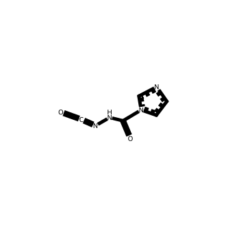 O=C=NNC(=O)n1ccnc1